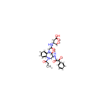 CCC(=O)N1CC(NC(=O)C(=O)c2ccccc2)C(=O)N(CC(=O)NC(C=O)CC(=O)O)c2ccccc21